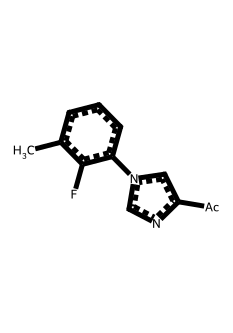 CC(=O)c1cn(-c2cccc(C)c2F)cn1